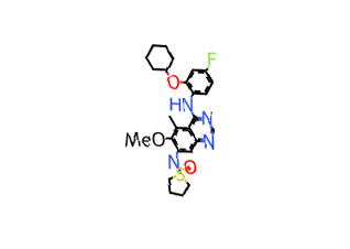 COc1c(N=S2(=O)CCCC2)cc2ncnc(Nc3ccc(F)cc3OC3CCCCC3)c2c1C